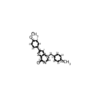 COc1ccc(-c2cc3c(s2)c(=O)ncn3Cc2ccc(C)cc2)cc1